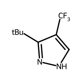 CC(C)(C)c1n[nH]cc1C(F)(F)F